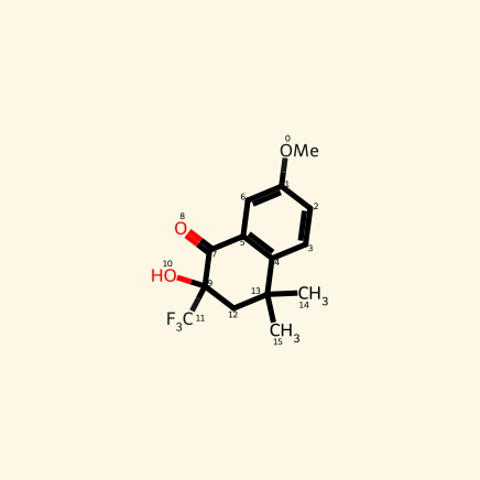 COc1ccc2c(c1)C(=O)C(O)(C(F)(F)F)CC2(C)C